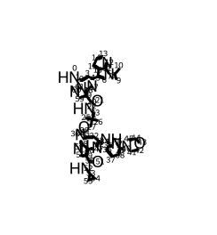 CNc1cc(-c2cn(C(C)C)c3ncccc23)nc2c(C(=O)NCC(C)(C)CON(C)c3cc(Nc4cccc(N5CCOCC5)n4)nc4c(C(=O)NC5CC5)cnn34)cnn12